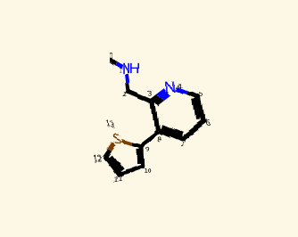 CNCc1ncccc1-c1cccs1